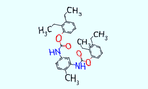 CCc1cccc(OC(=O)Nc2ccc(C)c(NC(=O)Oc3cccc(CC)c3CC)c2)c1CC